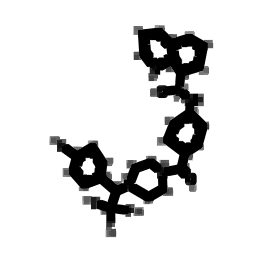 O=C(c1ccc(N[S+]([O-])c2cccc3cccnc23)cc1)N1CCN(C(c2ccc(F)cc2)C(F)(F)F)CC1